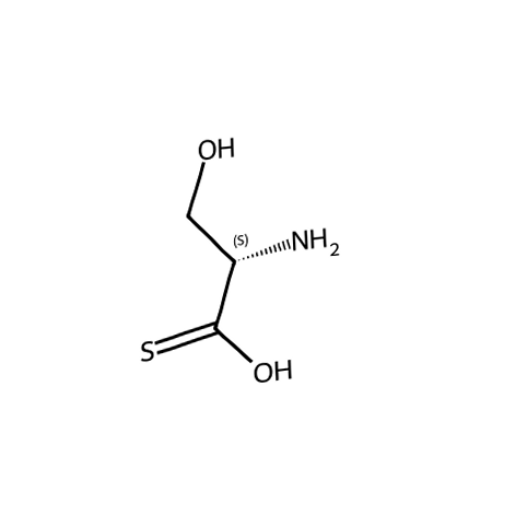 N[C@@H](CO)C(O)=S